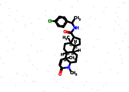 CC(NC(=O)C1CC[C@H]2[C@@H]3CCC4N(C)C(=O)C=C[C@]4(C)[C@@H]3CC[C@]12C)c1ccc(Cl)cc1